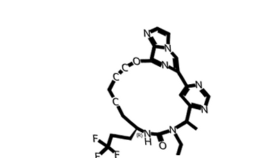 CCN1C(=O)N[C@@H](CCC(F)(F)F)CCCCCOc2nc(cn3ccnc23)-c2cc(ncn2)C1C